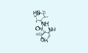 CC(=N)/C(C(=O)NC1CCNCC1)=C(/C)O